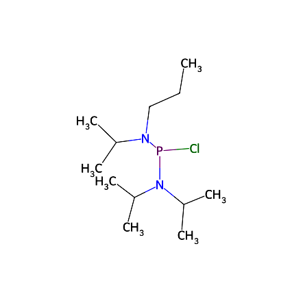 CCCN(C(C)C)P(Cl)N(C(C)C)C(C)C